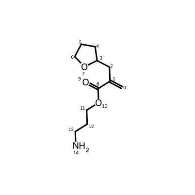 C=C(CC1CCCO1)C(=O)OCCCN